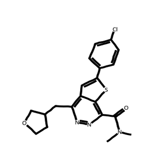 CN(C)C(=O)c1nnc(CC2CCOC2)c2cc(-c3ccc(Cl)cc3)sc12